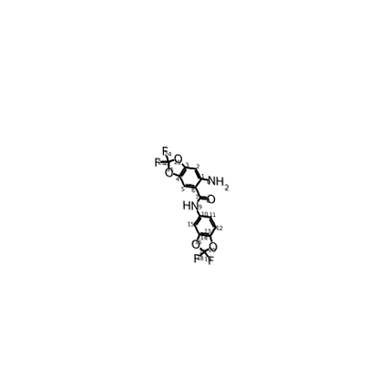 Nc1cc2c(cc1C(=O)Nc1ccc3c(c1)OC(F)(F)O3)OC(F)(F)O2